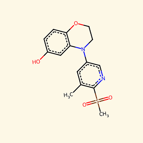 Cc1cc(N2CCOc3ccc(O)cc32)cnc1S(C)(=O)=O